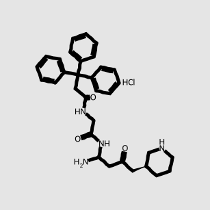 Cl.NC(CC(=O)C[C@@H]1CCCNC1)NC(=O)CNC(=O)CC(c1ccccc1)(c1ccccc1)c1ccccc1